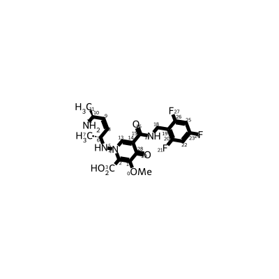 COc1c(C(=O)O)n(N[C@H](C)/C=C\[C@H](C)N)cc(C(=O)NCc2c(F)cc(F)cc2F)c1=O